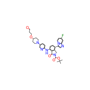 CC(C)(C)OC(=O)N1Cc2c(-c3cnc4cc(F)ccn34)ccc(Nc3ccc(N4CCC(OCCC=O)CC4)cn3)c2C1=O